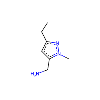 CCc1cc(CN)n(C)n1